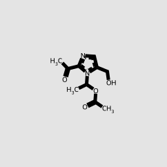 CC(=O)OC(C)n1c(CO)cnc1C(C)=O